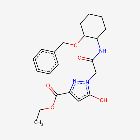 CCOC(=O)c1cc(O)n(CC(=O)NC2CCCCC2OCc2ccccc2)n1